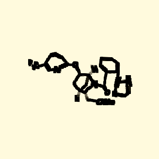 COC[C@@H]1[C@H]2C[C@@H](Oc3ccc(C(F)(F)F)cn3)[C@H](C2)N1C(=O)c1ccccc1-n1nccn1